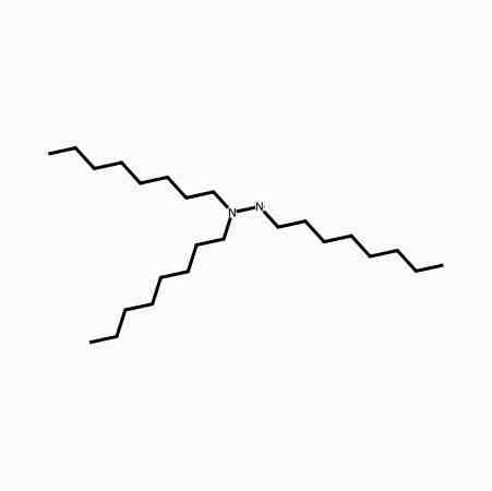 CCCCCCCC[N]N(CCCCCCCC)CCCCCCCC